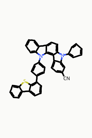 N#Cc1ccc2c3c(ccc4c5ccccc5n(-c5ccc(-c6cccc7c6sc6ccccc67)cc5)c43)n(-c3ccccc3)c2c1